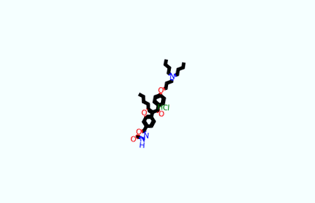 CCCCc1oc2cc(-c3n[nH]c(=O)o3)ccc2c1C(=O)c1ccc(OCCCN(CCCC)CCCC)cc1.Cl